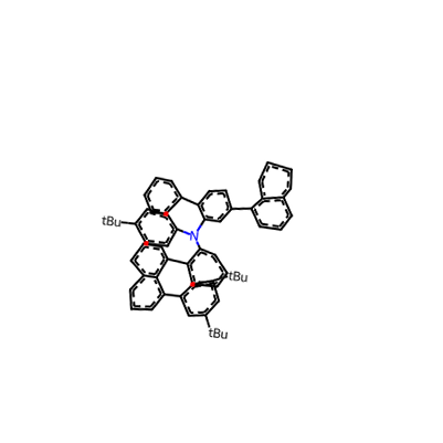 CC(C)(C)c1ccc(N(c2cc(-c3cccc4ccccc34)ccc2-c2ccccc2)c2ccccc2-c2cccc3cccc(-c4cc(C(C)(C)C)cc(C(C)(C)C)c4)c23)cc1